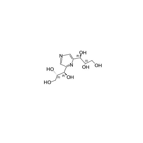 OC[C@H](O)[C@H](O)c1cncc([C@@H](O)[C@@H](O)CO)n1